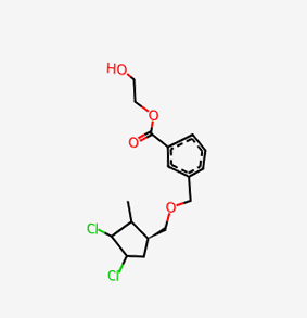 CC1C(Cl)C(Cl)C[C@@H]1COCc1cccc(C(=O)OCCO)c1